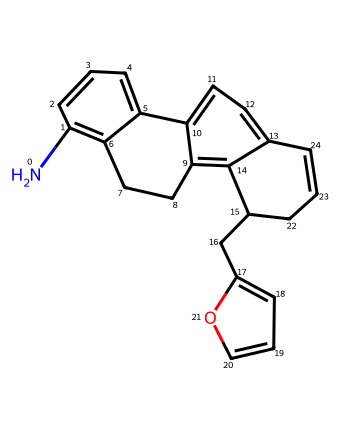 Nc1cccc2c1CCc1c-2ccc2c1C(Cc1ccco1)CC=C2